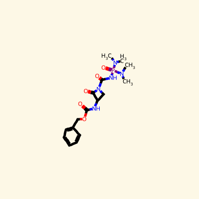 CN(C)P(=O)(NC(=O)N1CC(NC(=O)OCc2ccccc2)C1=O)N(C)C